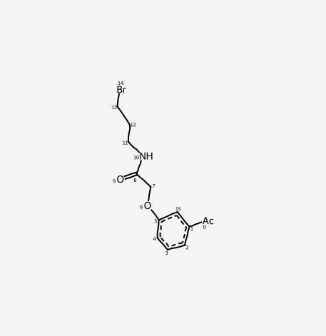 CC(=O)c1cccc(OCC(=O)NCCCBr)c1